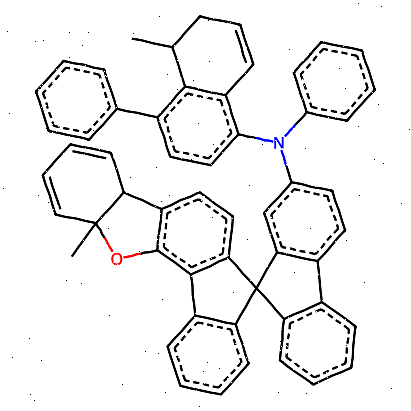 CC1CC=Cc2c(N(c3ccccc3)c3ccc4c(c3)C3(c5ccccc5-4)c4ccccc4-c4c3ccc3c4OC4(C)C=CC=CC34)ccc(-c3ccccc3)c21